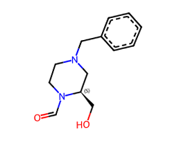 O=CN1CCN(Cc2ccccc2)C[C@H]1CO